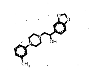 Cc1cccc(N2CCN(CC(O)c3ccc4c(c3)OCO4)CC2)c1